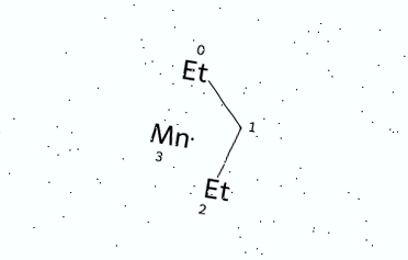 CCCCC.[Mn]